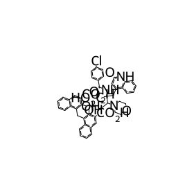 CC(N1CCOCC1)C(Cc1cc(=O)[nH]c2ccccc12)(NC(=O)c1ccc(Cl)cc1)C(=O)O.O=C(O)c1cc2ccccc2c(Cc2c(O)c(C(=O)O)cc3ccccc23)c1O